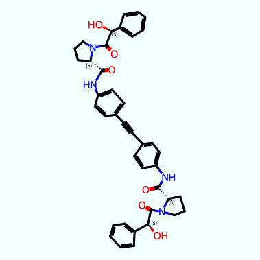 O=C(Nc1ccc(C#Cc2ccc(NC(=O)[C@@H]3CCCN3C(=O)[C@@H](O)c3ccccc3)cc2)cc1)[C@@H]1CCCN1C(=O)[C@@H](O)c1ccccc1